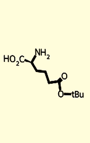 CC(C)(C)OC(=O)CCC[C@H](N)C(=O)O